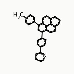 Cc1ccc(-c2cc(-c3ccc(-c4ccccn4)cc3)c3ccc4cccc5ccc2c3c54)cc1